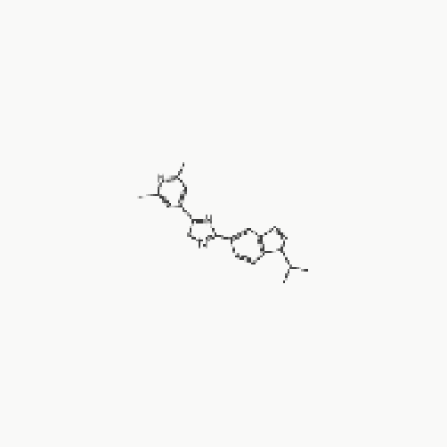 Cc1cc(C2=NC(c3ccc4c(c3)C=CC4C(C)C)=NC2)cc(C)n1